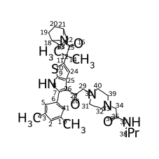 Cc1cc(C)cc(-c2[nH]c3sc(C(C)(C)C(=O)N4C5CCC4CC5)cc3c2C(=O)CN2CCN(CC(=O)NC(C)C)CC2)c1